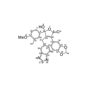 COc1ccc(C2(O)OC(=O)C(c3ccc4c(c3)OCO4)=C2Cc2ccc3nsnc3c2)cc1C